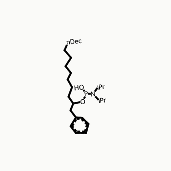 CCCCCCCCCCCCCCCCCC(Cc1ccccc1)OP(O)N(C(C)C)C(C)C